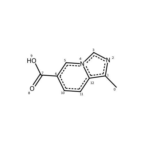 Cc1ncn2cc(C(=O)O)ccc12